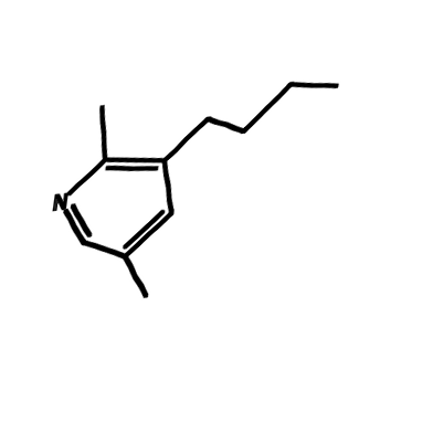 CCCCc1cc(C)cnc1C